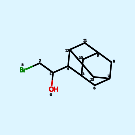 OC(CBr)C1C2CC3CC(C2)CC1C3